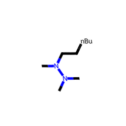 CCCCCCN(C)N(C)C